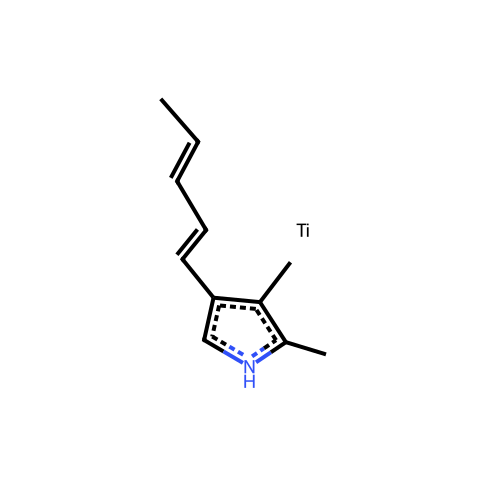 CC=CC=Cc1c[nH]c(C)c1C.[Ti]